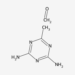 C=O.Cc1nc(N)nc(N)n1